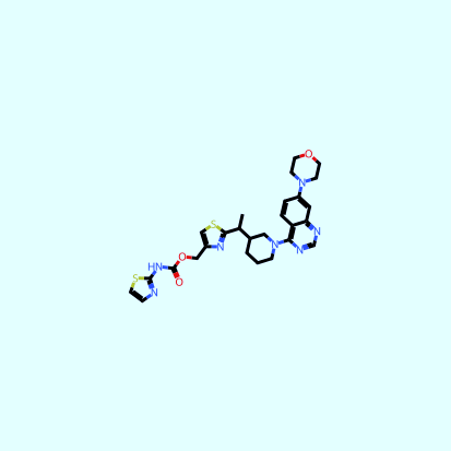 CC(c1nc(COC(=O)Nc2nccs2)cs1)C1CCCN(c2ncnc3cc(N4CCOCC4)ccc23)C1